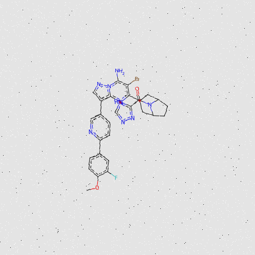 COc1ccc(-c2ccc(-c3cnn4c(N)c(Br)c(C5CC6CCC(C5)N6C(=O)c5nnc[nH]5)nc34)cn2)cc1F